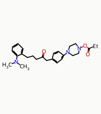 CCC(=O)ON1CCN(c2ccc(CC(=O)CCCc3ccccc3N(C)C)cc2)CC1